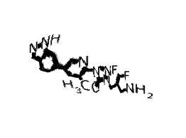 Cc1cc(-c2ccc3cn[nH]c3c2)cnc1-n1cnn(CC(CN)=C(F)F)c1=O